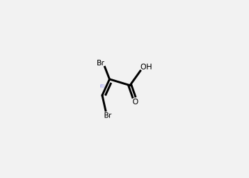 O=C(O)/C(Br)=C\Br